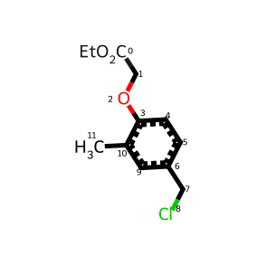 CCOC(=O)COc1ccc(CCl)cc1C